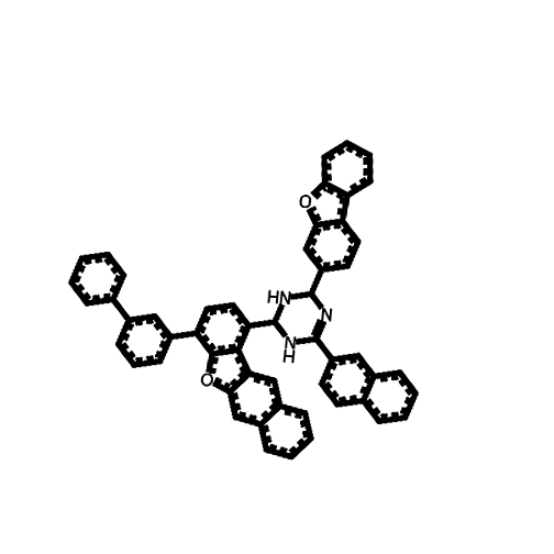 c1ccc(-c2cccc(-c3ccc(C4NC(c5ccc6ccccc6c5)=NC(c5ccc6c(c5)oc5ccccc56)N4)c4c3oc3cc5ccccc5cc34)c2)cc1